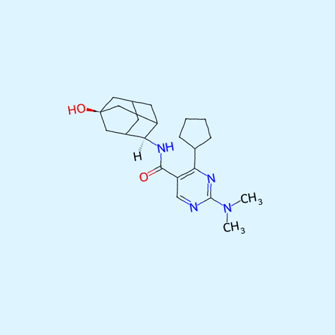 CN(C)c1ncc(C(=O)N[C@H]2C3CC4CC2C[C@@](O)(C4)C3)c(C2CCCC2)n1